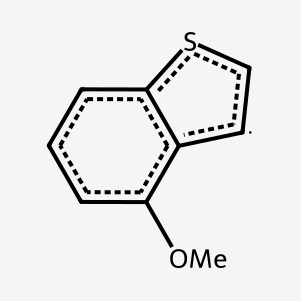 COc1cccc2sc[c]c12